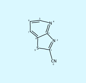 N#Cc1nc2ncccc2s1